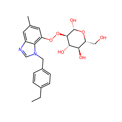 CCc1ccc(Cn2cnc3cc(C)cc(OO[C@@H]4[C@@H](O)[C@H](O)[C@@H](CO)O[C@H]4O)c32)cc1